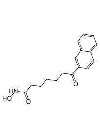 O=C(CCCCCC(=O)c1ccc2ccccc2c1)NO